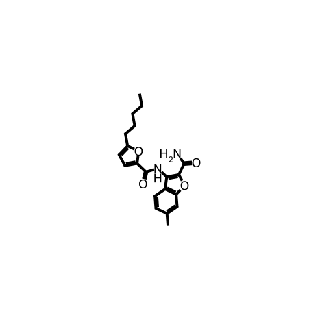 CCCCCc1ccc(C(=O)Nc2c(C(N)=O)oc3cc(C)ccc23)o1